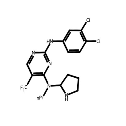 CCCN(c1nc(Nc2ccc(Cl)c(Cl)c2)ncc1C(F)(F)F)C1CCCN1